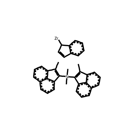 CC1=C([Si](C)(C)C2=C(C)c3cccc4cccc2c34)c2cccc3cccc1c23.[Zr][CH]1C=Cc2ccccc21